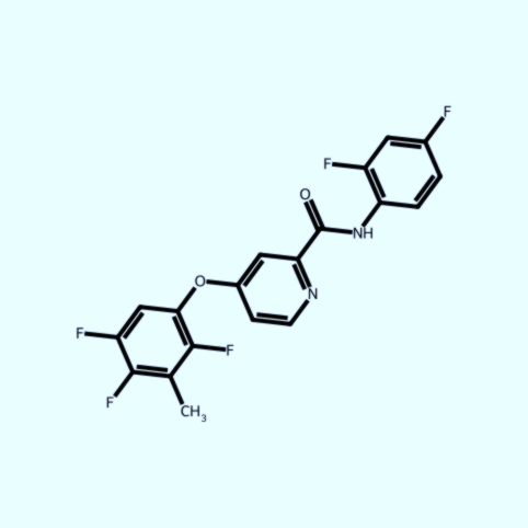 Cc1c(F)c(F)cc(Oc2ccnc(C(=O)Nc3ccc(F)cc3F)c2)c1F